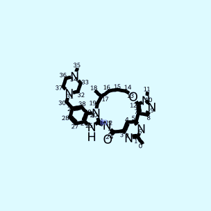 Cc1nc2cc(n1)-c1cnn(C)c1OCCCC(C)CN1/C(=N/C2=O)Nc2ccc(CN3CCN(C)CC3)cc21